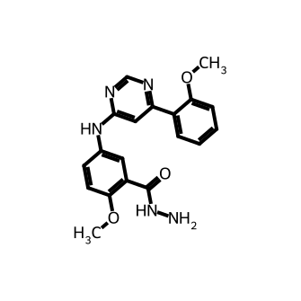 COc1ccc(Nc2cc(-c3ccccc3OC)ncn2)cc1C(=O)NN